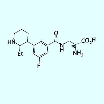 CCC1NCCCC1c1cc(F)cc(C(=O)NC[C@@H](N)C(=O)O)c1